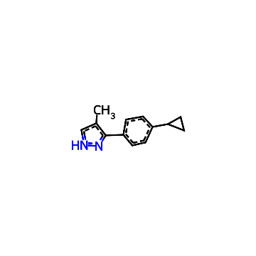 Cc1c[nH]nc1-c1ccc(C2CC2)cc1